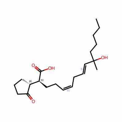 CCCCCC(C)(O)/C=C/C/C=C\CC[C@H](C(=O)O)[C@H]1CCCC1=O